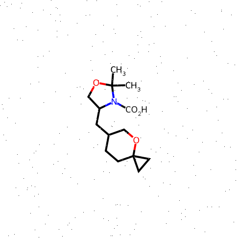 CC1(C)OCC(CC2CCC3(CC3)OC2)N1C(=O)O